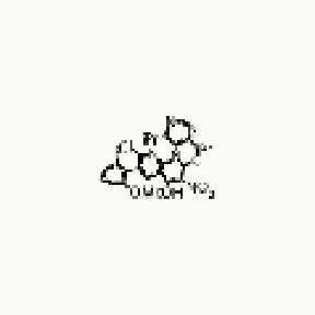 COc1cccc(F)c1-c1cc2c(O)c([N+](=O)[O-])c(=O)n(-c3c(C(C)C)ncnc3C(C)C)c2nc1Cl